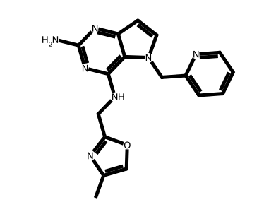 Cc1coc(CNc2nc(N)nc3ccn(Cc4ccccn4)c23)n1